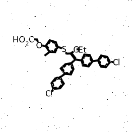 CCOC(CSc1ccc(OCC(=O)O)c(C)c1)=C(c1ccc(-c2ccc(Cl)cc2)cc1)c1ccc(-c2ccc(Cl)cc2)cc1